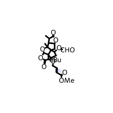 CCCC[C@@H]1CC(OC=O)C23CC4OC(=O)C(C)C4C2(C)OC2OC(=O)C(OC/C=C/C(=O)OC)C213